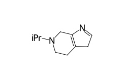 CC(C)N1CCC2=C(C1)N=CC2